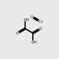 O=C(O)C(=O)O.[O]=[Cu]